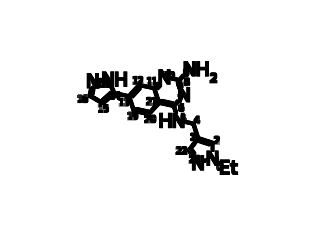 CCn1cc(CNc2nc(N)nc3cc(-c4ccn[nH]4)ccc23)cn1